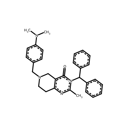 Cc1nc2c(c(=O)n1C(c1ccccc1)c1ccccc1)CN(Cc1ccc(N(C)C)cc1)CC2